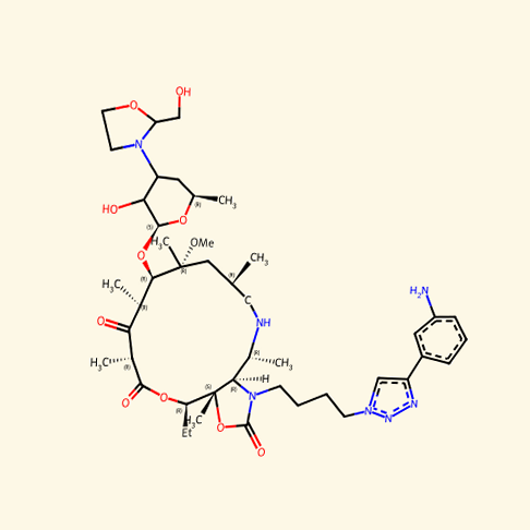 CC[C@H]1OC(=O)[C@H](C)C(=O)[C@H](C)[C@@H](O[C@@H]2O[C@H](C)CC(N3CCOC3CO)C2O)[C@](C)(OC)C[C@@H](C)CN[C@H](C)[C@H]2N(CCCCn3cc(-c4cccc(N)c4)nn3)C(=O)O[C@]12C